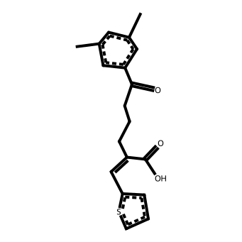 Cc1cc(C)cc(C(=O)CCC/C(=C/c2cccs2)C(=O)O)c1